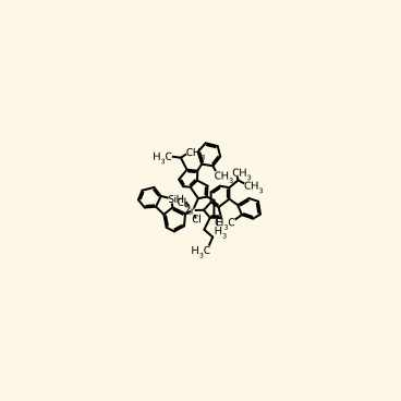 CCCC1=Cc2c(ccc(C(C)C)c2-c2ccccc2C)[CH]1[Zr]([Cl])([Cl])([c]1cccc2c1[SiH2]c1ccccc1-2)[CH]1C(CCC)=Cc2c1ccc(C(C)C)c2-c1ccccc1C